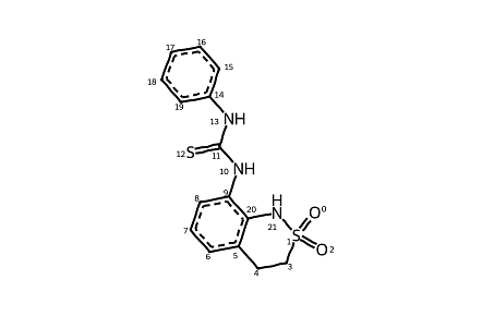 O=S1(=O)CCc2cccc(NC(=S)Nc3ccccc3)c2N1